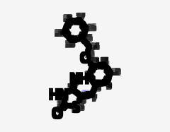 N=C1NC(=O)S/C1=C/c1cccc(OCc2ccccc2)c1